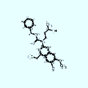 CCc1nc(N(CCC(C)C)C(=O)OCc2ccccc2)nc2cc(OC)c(Br)cc12